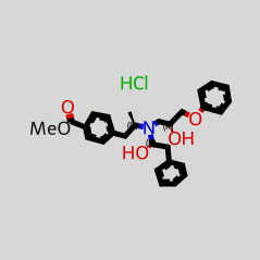 COC(=O)c1ccc(C[C@@H](C)N(C[C@@H](O)COc2ccccc2)[C@H](O)Cc2ccccc2)cc1.Cl